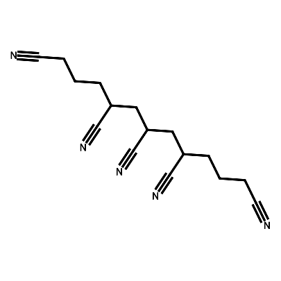 N#CCCCC(C#N)CC(C#N)CC(C#N)CCCC#N